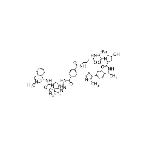 Cc1ncsc1-c1ccc([C@H](C)NC(=O)[C@@H]2C[C@@H](O)CN2C(=O)[C@@H](NC(=O)CCCNC(=O)c2ccc(C(=O)Nc3n[nH]c4c3CN(C(=O)N[C@H](CN(C)C)c3ccccc3)C4(C)C)cc2)C(C)(C)C)cc1